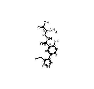 CCc1sncc1-c1ccc(F)c(C(=O)NC[C@@H](N)C(=O)O)c1